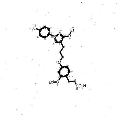 CCOc1cc(OCCCc2cn(-c3ccc(C(F)(F)F)cc3)nc2OCC)ccc1CCC(=O)O